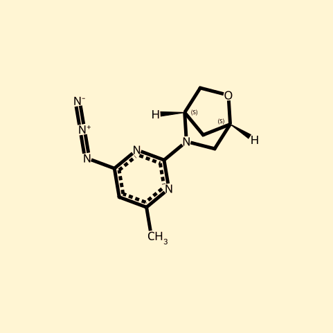 Cc1cc(N=[N+]=[N-])nc(N2C[C@@H]3C[C@H]2CO3)n1